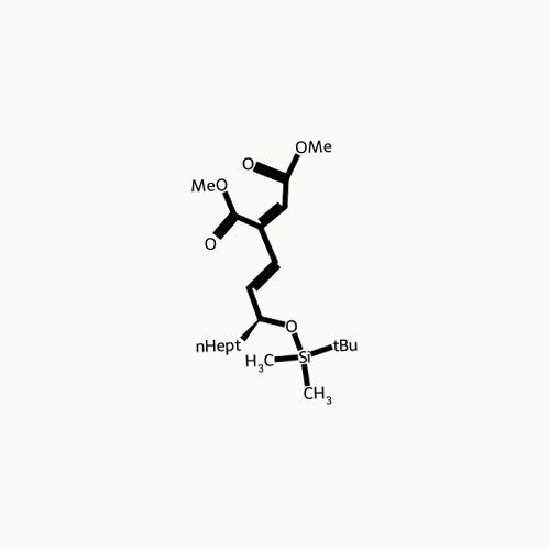 CCCCCCC[C@@H](/C=C/C(=C/C(=O)OC)C(=O)OC)O[Si](C)(C)C(C)(C)C